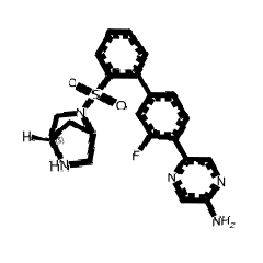 Nc1cnc(-c2ccc(-c3ccccc3S(=O)(=O)N3C[C@@H]4CC3CN4)cc2F)cn1